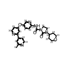 Cc1cc(-c2cc(Oc3ccc(NC(=O)N4CCN(C5CCOCC5)C4=O)nc3)ccn2)ccn1